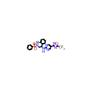 O=S(=O)(NCC(Nc1ncc(-c2noc(C(F)(F)F)n2)cn1)c1ccccc1F)c1ccccc1